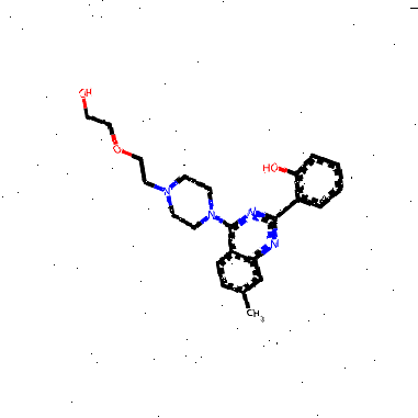 Cc1ccc2c(N3CCN(CCOCCO)CC3)nc(-c3ccccc3O)nc2c1